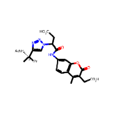 CC(=O)N[C@](C)(c1cn(C(CC(=O)O)C(=O)Nc2ccc3c(C)c(CC(=O)O)c(=O)oc3c2)nn1)C(C)C